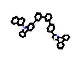 c1cc(-c2ccc(-c3cnc4c5ccccc5c5ccccc5c4n3)cc2)cc(-c2cccc(-c3ccc4c5ccccc5n(-c5ccc6ccccc6c5)c4c3)c2)c1